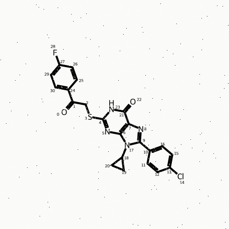 O=C(CSc1nc2c(nc(-c3ccc(Cl)cc3)n2C2CC2)c(=O)[nH]1)c1ccc(F)cc1